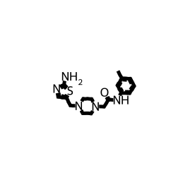 Cc1cccc(NC(=O)CN2CCN(Cc3cnc(N)s3)CC2)c1